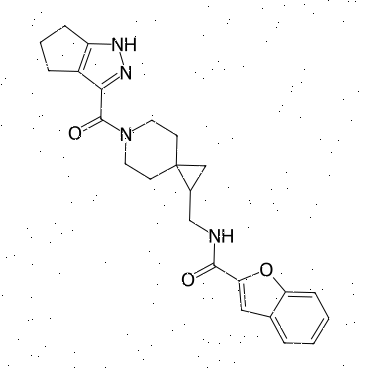 O=C(NCC1CC12CCN(C(=O)c1n[nH]c3c1CCC3)CC2)c1cc2ccccc2o1